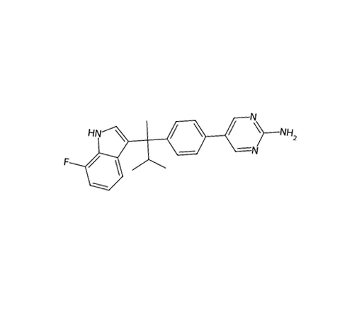 CC(C)C(C)(c1ccc(-c2cnc(N)nc2)cc1)c1c[nH]c2c(F)cccc12